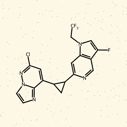 Fc1cn(CC(F)(F)F)c2cc(C3CC3c3cc(Cl)nn4ccnc34)ncc12